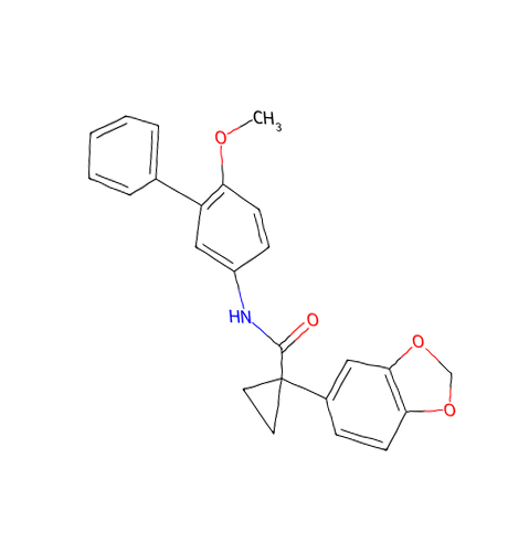 COc1ccc(NC(=O)C2(c3ccc4c(c3)OCO4)CC2)cc1-c1ccccc1